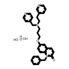 Cl.Cl.Cl.O=c1ccc2cc(OCCCN(CCc3cccnc3)Cc3ccncc3)ccc2n1Cc1ccccc1